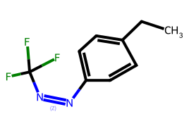 CCc1ccc(/N=N\C(F)(F)F)cc1